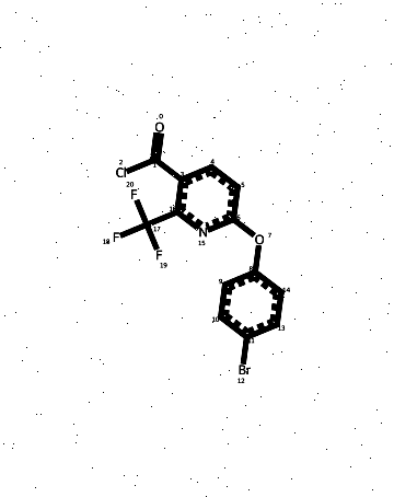 O=C(Cl)c1ccc(Oc2ccc(Br)cc2)nc1C(F)(F)F